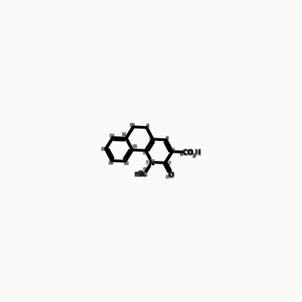 CCCCn1c2c(cc(C(=O)O)c1=O)CCc1ccccc1-2